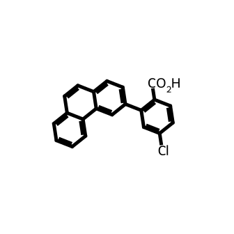 O=C(O)c1ccc(Cl)cc1-c1ccc2ccc3ccccc3c2c1